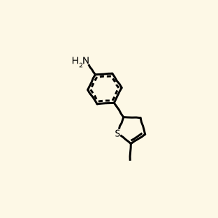 CC1=CCC(c2ccc(N)cc2)S1